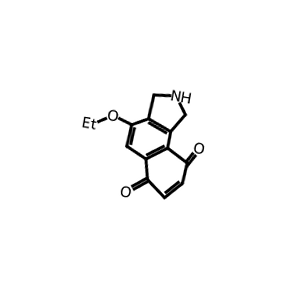 CCOc1cc2c(c3c1CNC3)C(=O)C=CC2=O